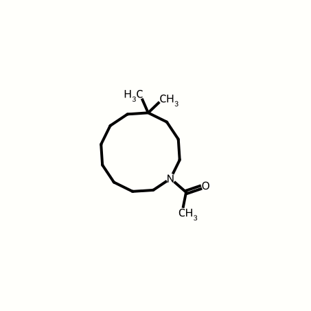 CC(=O)N1CCCCCCCC(C)(C)CCC1